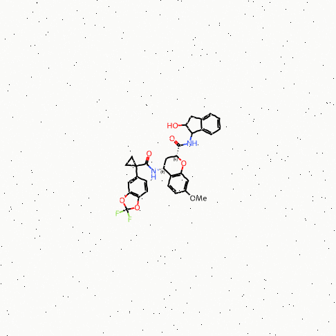 COc1ccc2c(c1)O[C@@H](C(=O)NC1c3ccccc3CC1O)C[C@H]2NC(=O)C1(c2ccc3c(c2)OC(F)(F)O3)CC1